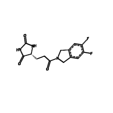 O=C1NC(=O)[C@@H](CCC(=O)N2Cc3cc(F)c(F)cc3C2)N1